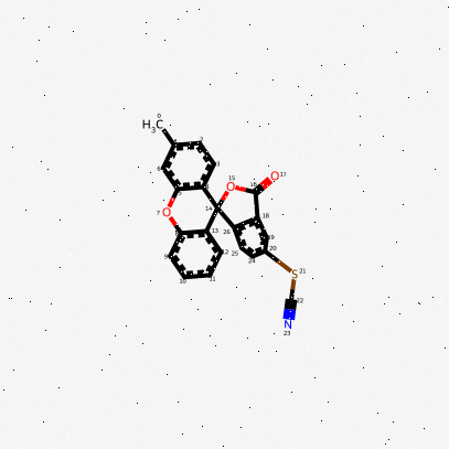 Cc1ccc2c(c1)Oc1ccccc1C21OC(=O)c2cc(SC#N)ccc21